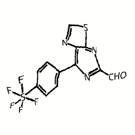 O=Cc1nc(-c2ccc(S(F)(F)(F)(F)F)cc2)c2ncsc2n1